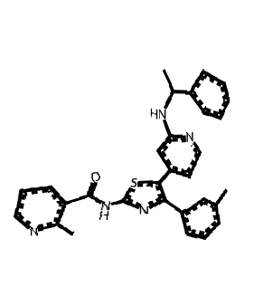 Cc1cccc(-c2nc(NC(=O)c3cccnc3C)sc2-c2ccnc(NC(C)c3ccccc3)c2)c1